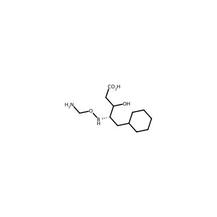 NCOB[C@@H](CC1CCCCC1)C(O)CC(=O)O